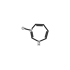 [O-][N+]1=CNC=CC=C1